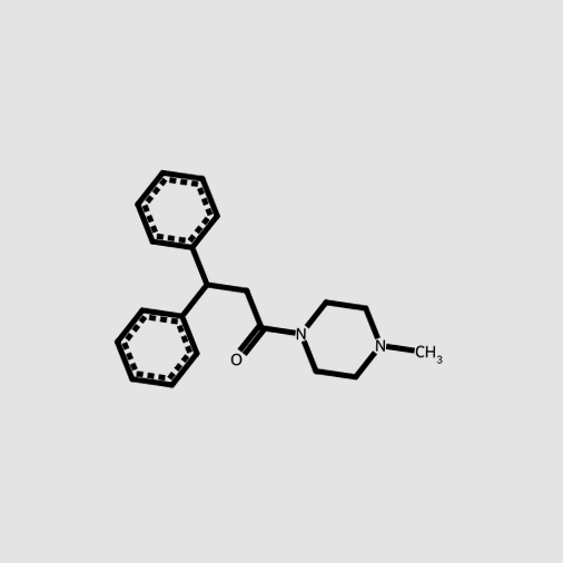 CN1CCN(C(=O)CC(c2ccccc2)c2ccccc2)CC1